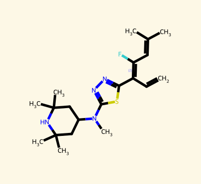 C=C/C(=C(/F)C=C(C)C)c1nnc(N(C)C2CC(C)(C)NC(C)(C)C2)s1